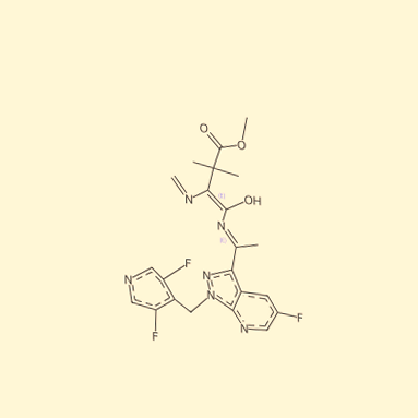 C=N/C(=C(O)\N=C(/C)c1nn(Cc2c(F)cncc2F)c2ncc(F)cc12)C(C)(C)C(=O)OC